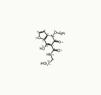 CCCOn1c(=O)c(C(=O)NCC(=O)O)c(O)c2occc21